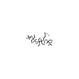 CCC(CC)(O[Si](C)(C)C(CC)(CC)O[Si](C)(C)C)C(C)(CC)[Si](C)(CC[SiH3])OC(C)(CC)[Si](C)(C)C